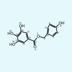 O=C(OCc1ccc(O)cc1)c1cc(O)c(O)c(O)c1